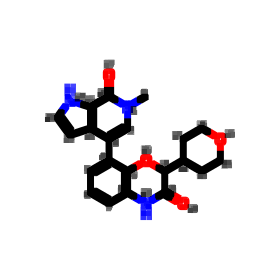 Cn1cc(-c2cccc3c2OC(C2CCOCC2)C(=O)N3)c2cc[nH]c2c1=O